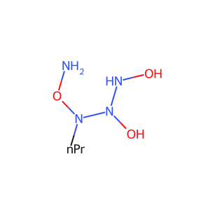 CCCN(ON)N(O)NO